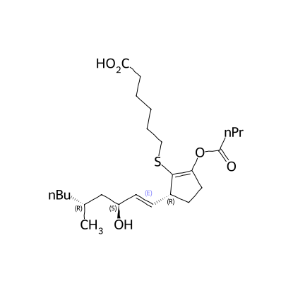 CCCC[C@@H](C)C[C@H](O)/C=C/[C@H]1CCC(OC(=O)CCC)=C1SCCCCCC(=O)O